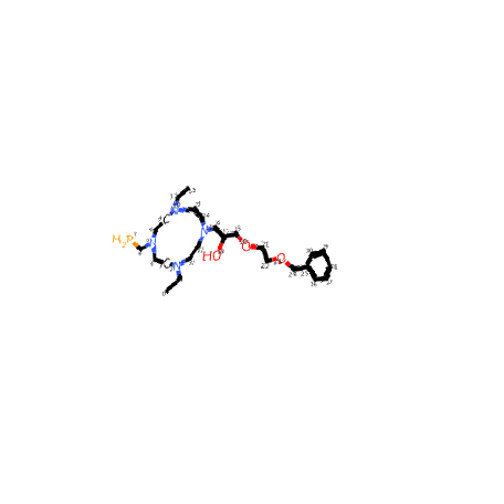 CCN1CCN(CP)CCN(CC)CCN(CC(O)COCCOCc2ccccc2)CC1